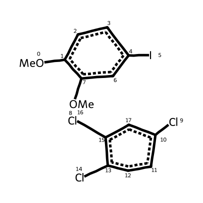 COc1ccc(I)cc1OC.Clc1ccc(Cl)c(Cl)c1